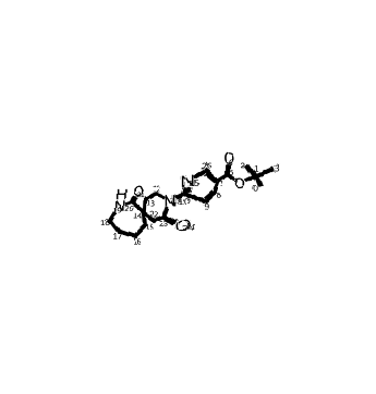 CC(C)(C)OC(=O)c1ccc(N2CCC3(CCCCNC3=O)CC2=O)nc1